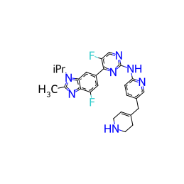 Cc1nc2c(F)cc(-c3nc(Nc4ccc(CC5=CCNCC5)cn4)ncc3F)cc2n1C(C)C